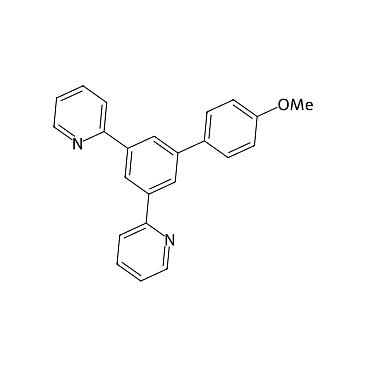 COc1ccc(-c2cc(-c3ccccn3)cc(-c3ccccn3)c2)cc1